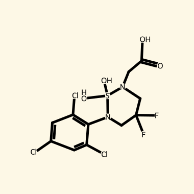 O=C(O)CN1CC(F)(F)CN(c2c(Cl)cc(Cl)cc2Cl)S1(O)O